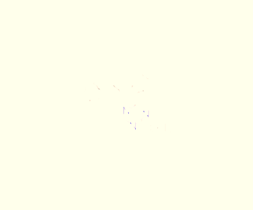 ClC(Cl)(Cl)c1ncnc(-c2ccccc2C=Cc2ccccc2)n1